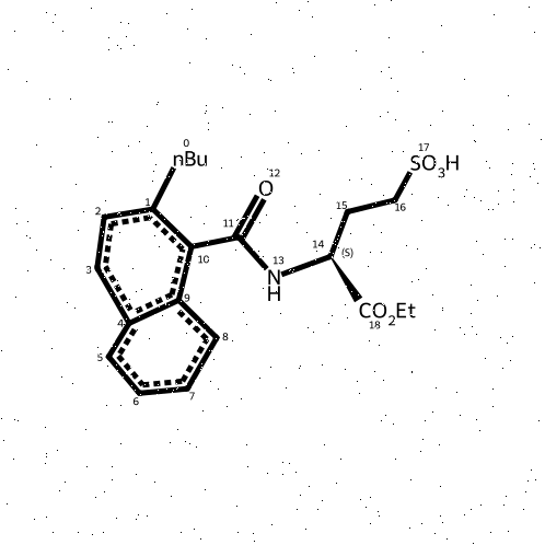 CCCCc1ccc2ccccc2c1C(=O)N[C@@H](CCS(=O)(=O)O)C(=O)OCC